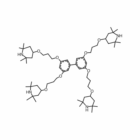 CC1(C)CC(OCCCOc2cc(OCCCOC3CC(C)(C)NC(C)(C)C3)cc(-c3cc(OCCCOC4CC(C)(C)NC(C)(C)C4)cc(OCCCOC4CC(C)(C)NC(C)(C)C4)c3)c2)CC(C)(C)N1